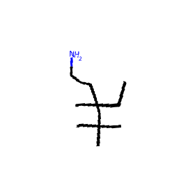 CCC(C)(CCN)C(C)(C)C